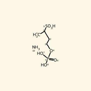 CC(CCOP(=O)(O)O)S(=O)(=O)O.N